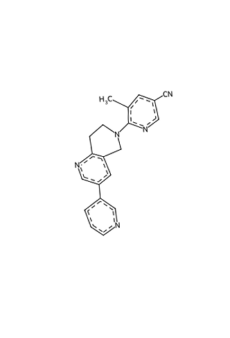 Cc1cc(C#N)cnc1N1CCc2ncc(-c3cccnc3)cc2C1